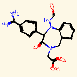 N=C(N)c1ccc(C2C(=O)N(CC(=O)O)Cc3ccccc3N2NC=O)cc1